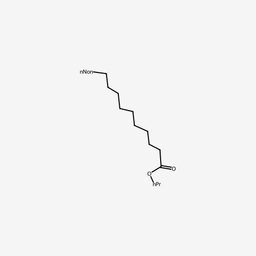 CCCCCCCCCCCCCCCCCCC(=O)OCCC